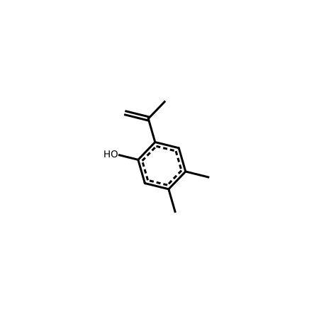 C=C(C)c1cc(C)c(C)cc1O